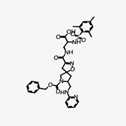 Cc1cc(C)c(S(=O)(=O)NC(CNC(=O)C2=NOC3(C2)CC(CNc2ccccn2)N(C(=O)OCc2ccccc2)C3)C(=O)O)c(C)c1